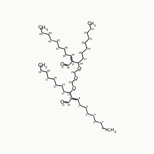 CCCCCCCCC=C(C=O)C(CCCCCCCC)OCOCOC(CCCCCCCC)C(C=O)=CCCCCCCCC